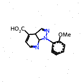 COc1ccc#cc1N1N=CC2C(C(=O)O)=CC=NC21